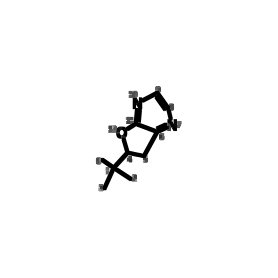 CC(C)(C)C1Cc2nccnc2O1